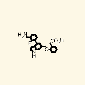 NCc1cccc(-c2cc(COc3ccccc3CC(=O)O)cc3[nH]ccc23)c1F